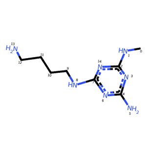 CNc1nc(N)nc(NCCCCN)n1